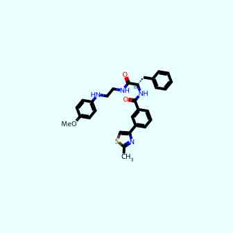 COc1ccc(NCCNC(=O)[C@H](Cc2ccccc2)NC(=O)c2cccc(-c3csc(C)n3)c2)cc1